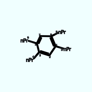 CCCc1cc(CCC)c(CCC)cc1CCC